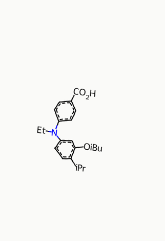 CCN(c1ccc(C(=O)O)cc1)c1ccc(C(C)C)c(OCC(C)C)c1